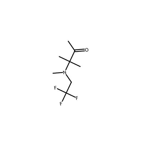 CC(=O)C(C)(C)N(C)CC(F)(F)F